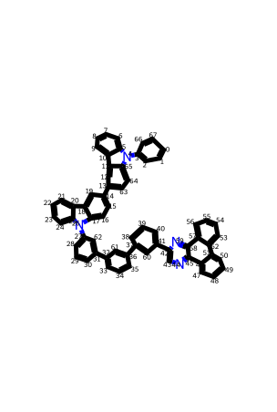 c1ccc(-n2c3ccccc3c3cc(-c4ccc5c(c4)c4ccccc4n5-c4cccc(-c5cccc(-c6cccc(-c7cnc8c9ccccc9c9ccccc9c8n7)c6)c5)c4)ccc32)cc1